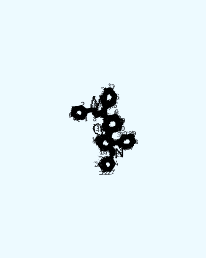 c1ccc(-c2cc(-c3cccc4c3oc3ccc5c(-c6ccccc6)nc6ccccc6c5c34)c3ccccc3n2)cc1